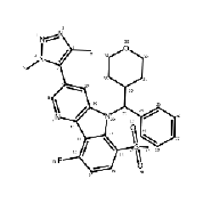 Cc1nnn(C)c1-c1cnc2c3c(F)ccc(S(C)(=O)=O)c3n(C(c3ccccc3)C3CCOCC3)c2c1